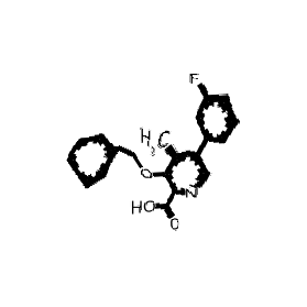 Cc1c(-c2cccc(F)c2)cnc(C(=O)O)c1OCc1ccccc1